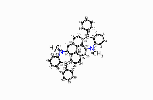 CN1c2ccccc2B(c2ccccc2)c2ccc3cc4c5c(ccc6cc1c2c3c65)B(c1ccccc1)c1ccccc1N4C